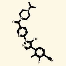 Cc1c(-c2cnn(-c3ccc(C(=O)N4CCN(C(C)C)CC4)cn3)c2O)ccc(C#N)c1F